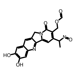 CC(N=O)c1cc2n(c(=O)c1COC=O)Cc1cc3cc(O)c(O)cc3nc1-2